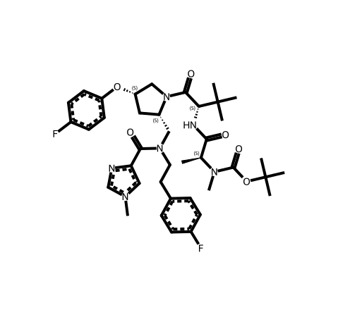 C[C@@H](C(=O)N[C@H](C(=O)N1C[C@@H](Oc2ccc(F)cc2)C[C@H]1CN(CCc1ccc(F)cc1)C(=O)c1cn(C)cn1)C(C)(C)C)N(C)C(=O)OC(C)(C)C